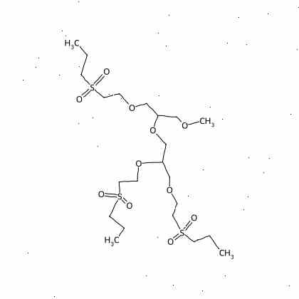 CCCS(=O)(=O)CCOCC(COC)OCC(COCCS(=O)(=O)CCC)OCCS(=O)(=O)CCC